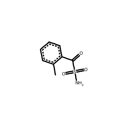 Cc1ccccc1C(=O)S(N)(=O)=O